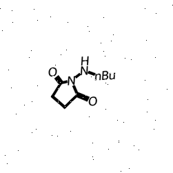 CCCCNN1C(=O)CCC1=O